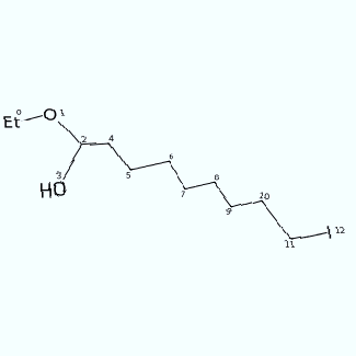 CCOC(O)CCCCCCCCI